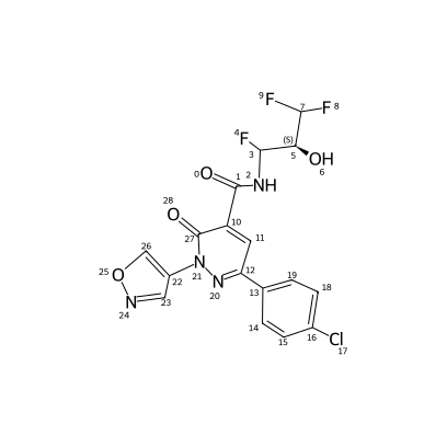 O=C(NC(F)[C@H](O)C(F)F)c1cc(-c2ccc(Cl)cc2)nn(-c2cnoc2)c1=O